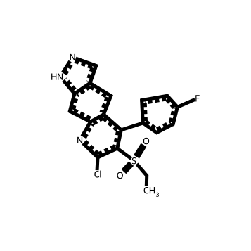 CCS(=O)(=O)c1c(Cl)nc2cc3[nH]ncc3cc2c1-c1ccc(F)cc1